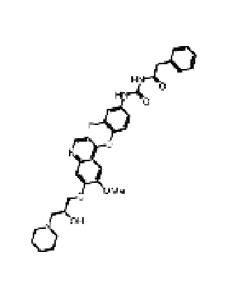 COc1cc2c(Oc3ccc(NC(=O)NC(=O)Cc4ccccc4)cc3F)ccnc2cc1OCC(O)CN1CCCCC1